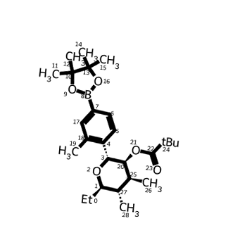 CC[C@H]1O[C@H](c2ccc(B3OC(C)(C)C(C)(C)O3)cc2C)[C@@H](OC(=O)C(C)(C)C)[C@@H](C)[C@@H]1C